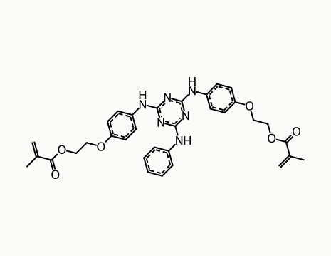 C=C(C)C(=O)OCCOc1ccc(Nc2nc(Nc3ccccc3)nc(Nc3ccc(OCCOC(=O)C(=C)C)cc3)n2)cc1